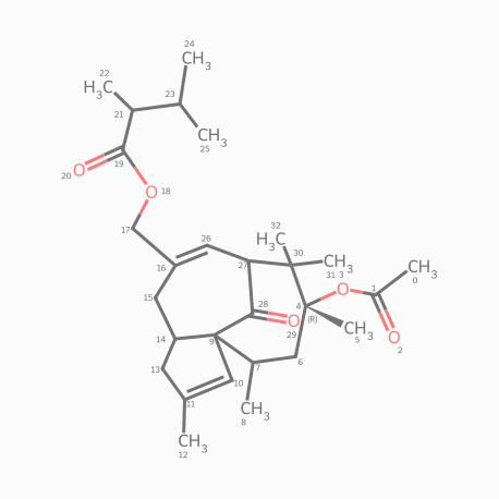 CC(=O)O[C@]1(C)CC(C)C23C=C(C)CC2CC(COC(=O)C(C)C(C)C)=CC(C3=O)C1(C)C